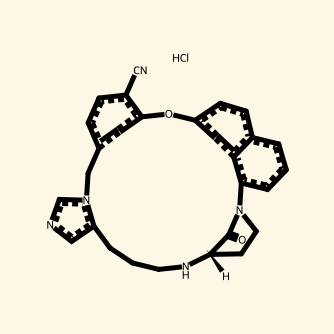 Cl.N#Cc1ccc2cc1Oc1ccc3cccc(c3c1)N1CC[C@H](NCCCc3cncn3C2)C1=O